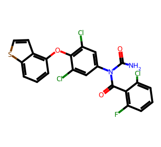 NC(=O)N(C(=O)c1c(F)cccc1Cl)c1cc(Cl)c(Oc2cccc3sccc23)c(Cl)c1